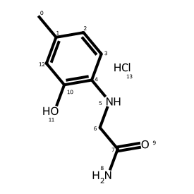 Cc1ccc(NCC(N)=O)c(O)c1.Cl